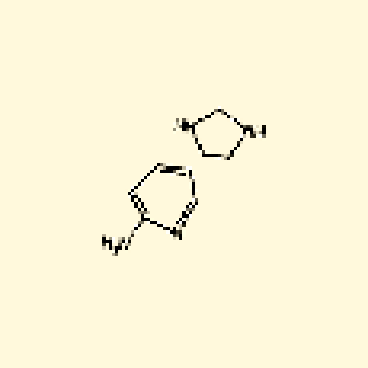 C1CNCN1.Nc1ccccn1